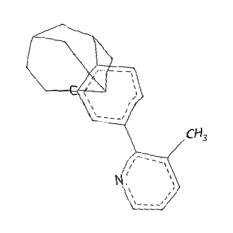 Cc1cccnc1-c1ccc2c(c1)C1CC3CC(CC2C3)C1